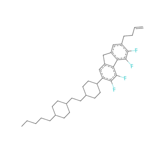 C=CCCc1cc2c(c(F)c1F)-c1c(cc(C3CCC(CCC4CCC(CCCCC)CC4)CC3)c(F)c1F)C2